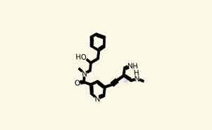 CN/C=C(/C#Cc1cncc(C(=O)N(C)CC(O)Cc2ccccc2)c1)C=N